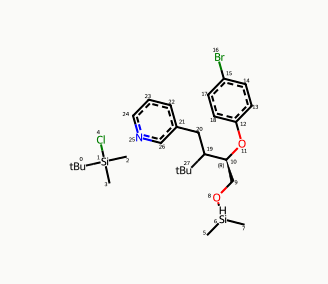 CC(C)(C)[Si](C)(C)Cl.C[SiH](C)OC[C@H](Oc1ccc(Br)cc1)C(Cc1cccnc1)C(C)(C)C